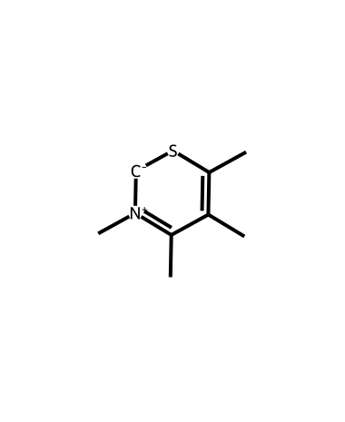 CC1=C(C)C(C)=[N+](C)[CH-]S1